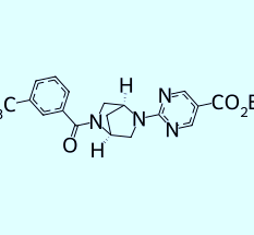 CCOC(=O)c1cnc(N2C[C@@H]3C[C@H]2CN3C(=O)c2cccc(C(F)(F)F)c2)nc1